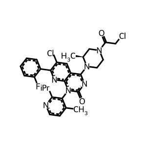 Cc1ccnc(C(C)C)c1-n1c(=O)nc(N2CCN(C(=O)CCl)C[C@@H]2C)c2cc(Cl)c(-c3ccccc3F)nc21